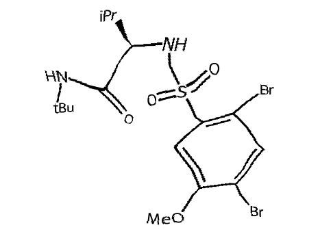 COc1cc(S(=O)(=O)N[C@@H](C(=O)NC(C)(C)C)C(C)C)c(Br)cc1Br